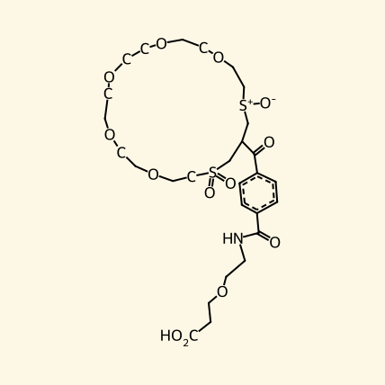 O=C(O)CCOCCNC(=O)c1ccc(C(=O)C2C[S+]([O-])CCOCCOCCOCCOCCOCCS(=O)(=O)C2)cc1